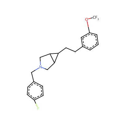 Fc1ccc(CN2CC3C(C[CH]c4cccc(OC(F)(F)F)c4)C3C2)cc1